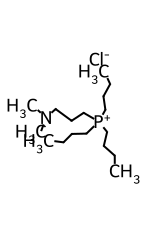 CCCC[P+](CCCC)(CCCC)CCCN(C)C.[Cl-]